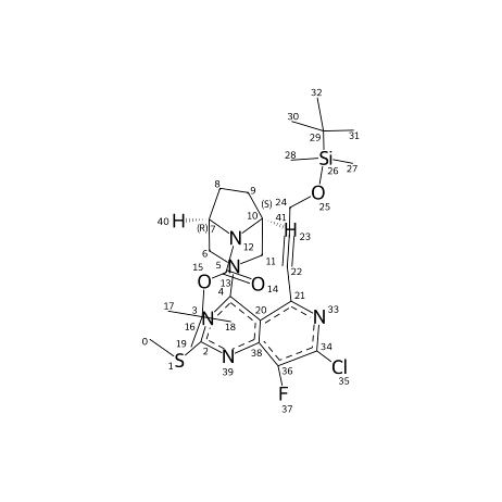 CSc1nc(N2C[C@H]3CC[C@@H](C2)N3C(=O)OC(C)(C)C)c2c(C#CCO[Si](C)(C)C(C)(C)C)nc(Cl)c(F)c2n1